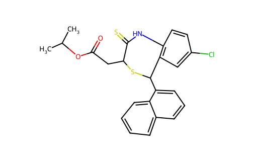 CC(C)OC(=O)CC1SC(c2cccc3ccccc23)c2cc(Cl)ccc2NC1=S